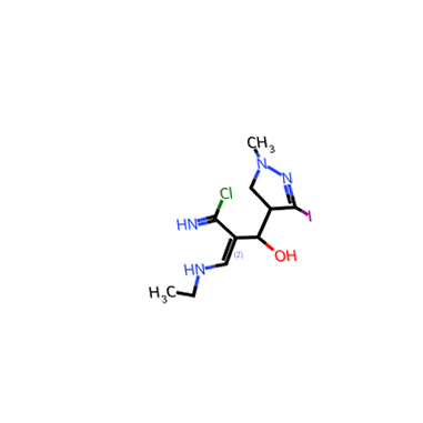 CCN/C=C(\C(=N)Cl)C(O)C1CN(C)N=C1I